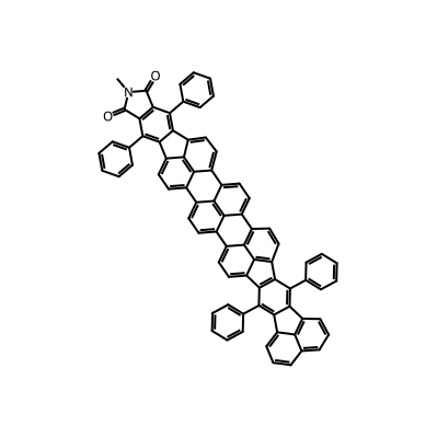 CN1C(=O)c2c(c(-c3ccccc3)c3c(c2-c2ccccc2)-c2ccc4c5ccc6c7ccc8c9c(-c%10ccccc%10)c%10c%11cccc%12cccc(c%10c(-c%10ccccc%10)c9c9ccc(c%10ccc(c%13ccc-3c2c4%13)c5c6%10)c7c89)c%12%11)C1=O